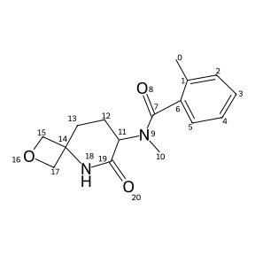 Cc1ccccc1C(=O)N(C)C1CCC2(COC2)NC1=O